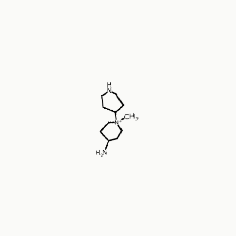 C[N+]1(C2CCNCC2)CCC(N)CC1